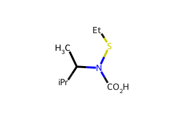 CCSN(C(=O)O)C(C)C(C)C